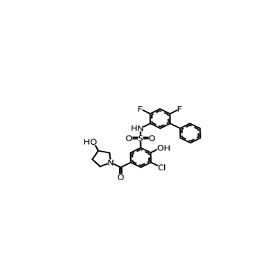 O=C(c1cc(Cl)c(O)c(S(=O)(=O)Nc2cc(-c3ccccc3)c(F)cc2F)c1)N1CCC(O)C1